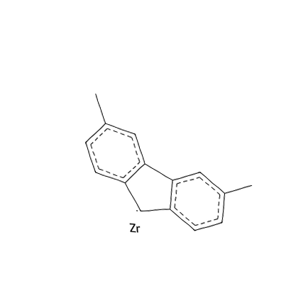 Cc1ccc2c(c1)-c1cc(C)ccc1[CH]2.[Zr]